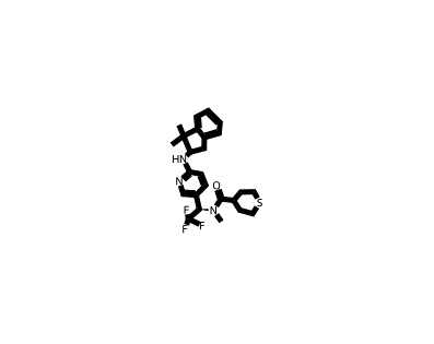 CN(C(=O)C1CCSCC1)[C@@H](c1ccc(NC2Cc3ccccc3C2(C)C)nc1)C(F)(F)F